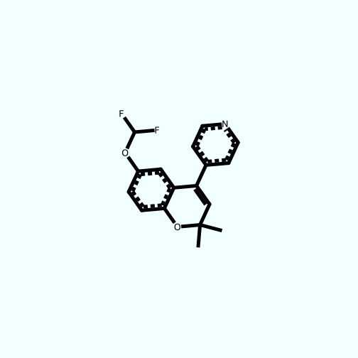 CC1(C)C=C(c2ccncc2)c2cc(OC(F)F)ccc2O1